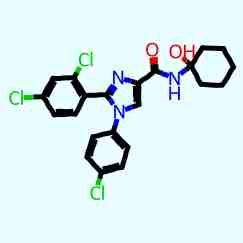 O=C(NC1(O)CCCCC1)c1cn(-c2ccc(Cl)cc2)c(-c2ccc(Cl)cc2Cl)n1